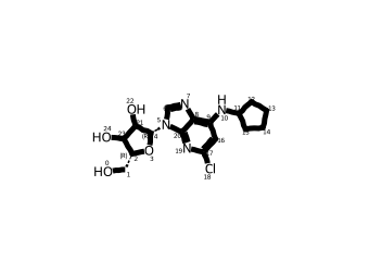 OC[C@H]1O[C@@H](n2cnc3c(NC4CCCC4)cc(Cl)nc32)C(O)C1O